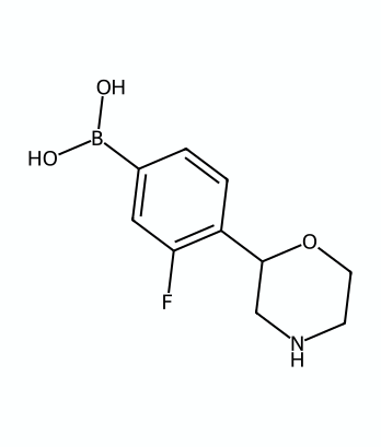 OB(O)c1ccc(C2CNCCO2)c(F)c1